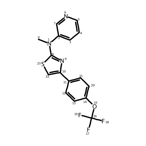 CN(c1cccnc1)c1nc(-c2ccc(OC(F)(F)F)cc2)cs1